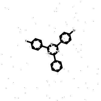 Fc1ccc(-c2nc(-c3ccccc3)nc(-c3ccc(Br)cc3)n2)cc1